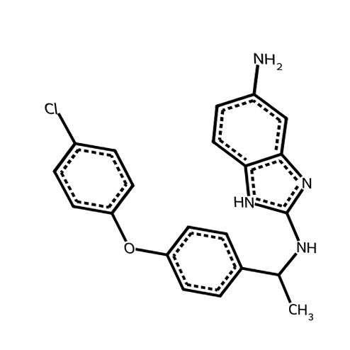 CC(Nc1nc2cc(N)ccc2[nH]1)c1ccc(Oc2ccc(Cl)cc2)cc1